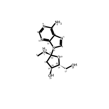 C[SiH2][C@]1(n2cnc3c(N)ncnc32)C[C@H](O)[C@@H](CO)O1